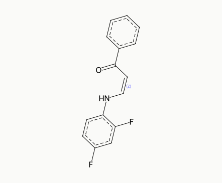 O=C(/C=C\Nc1ccc(F)cc1F)c1ccccc1